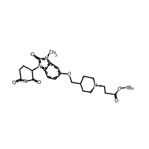 Cn1c(=O)n(C2CCC(=O)NC2=O)c2ccc(OCC3CCN(CCC(=O)OC(C)(C)C)CC3)cc21